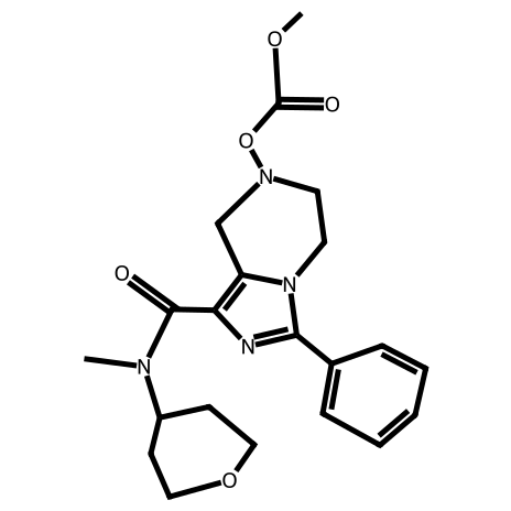 COC(=O)ON1CCn2c(-c3ccccc3)nc(C(=O)N(C)C3CCOCC3)c2C1